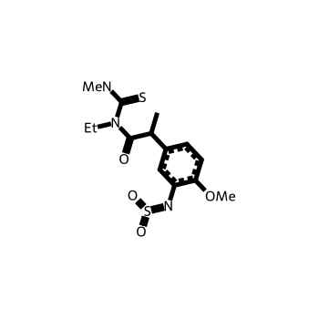 CCN(C(=O)C(C)c1ccc(OC)c(N=S(=O)=O)c1)C(=S)NC